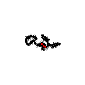 COc1cc2c(cc1OCc1cc(COc3cc4c(cc3OC)C(=O)N3Cc5ccsc5C[C@H]3C=N4)cc(C[N+](C)(C)Cc3ccc(OS(=O)(=O)Oc4cc(C(=O)NCC(C)(C)COCC(C)(C)Cn5cc(COCC(C)(C)COCC(C)(C)CNC(=O)c6ccc(C(=O)CCS(=O)(=O)c7ccc(C)cc7)cc6)nn5)ccc4O[C@@H]4OC(CO)[C@H](O)[C@H](O)[C@H]4O)cc3)c1)N=CC1Cc3sccc3CN1C2=O